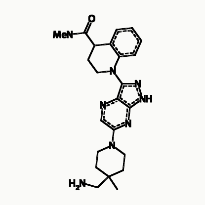 CNC(=O)C1CCN(c2n[nH]c3nc(N4CCC(C)(CN)CC4)cnc23)c2ccccc21